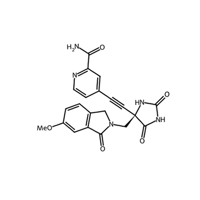 COc1ccc2c(c1)C(=O)N(C[C@@]1(C#Cc3ccnc(C(N)=O)c3)NC(=O)NC1=O)C2